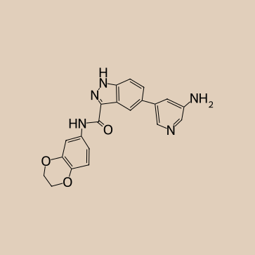 Nc1cncc(-c2ccc3[nH]nc(C(=O)Nc4ccc5c(c4)OCCO5)c3c2)c1